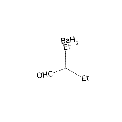 CCC(C=O)CC.[BaH2]